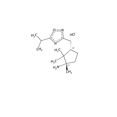 CC(C)c1nc(C[C@@H]2CC[C@](C)(N)C2(C)C)no1.Cl